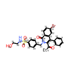 CCC(=O)c1c(-c2ccccc2)c2cc(Br)ccc2c(=O)n1Cc1ccc(S(=O)(=O)NCCO)cc1